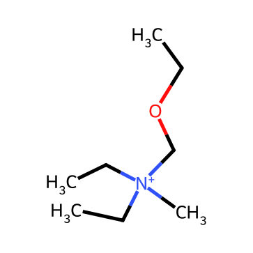 CCOC[N+](C)(CC)CC